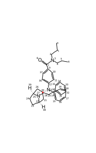 CCCN(CCC)C(=O)c1ccc(N(c2ccccc2)[C@@H]2C[C@H]3CC[C@@H](C2)N3CCc2ccccc2)cc1